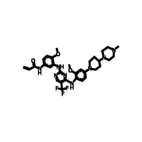 C=CC(=O)Nc1ccc(OC)c(Nc2ncc(C(F)(F)F)c(Nc3ccc(N4CCC(N5CCN(C)CC5)CC4)cc3OC)n2)c1